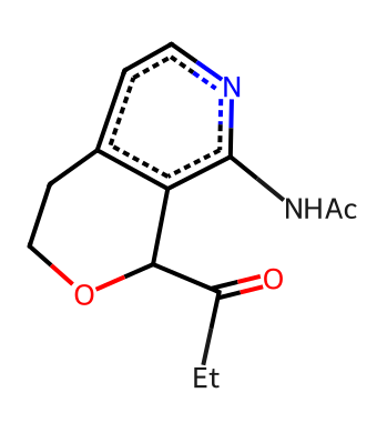 CCC(=O)C1OCCc2ccnc(NC(C)=O)c21